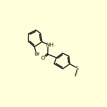 O=C(Nc1ccccc1Br)c1ccc(SF)cc1